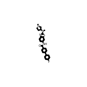 CN1CCC(N(C)c2nc3ccc(NC(=O)c4ccc(-c5ccc(F)cc5)cc4)cc3s2)C1